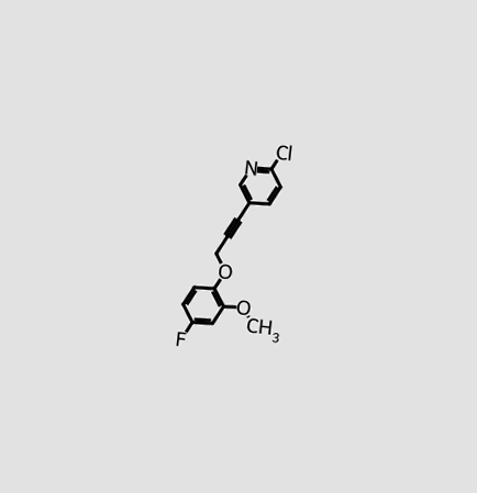 COc1cc(F)ccc1OCC#Cc1ccc(Cl)nc1